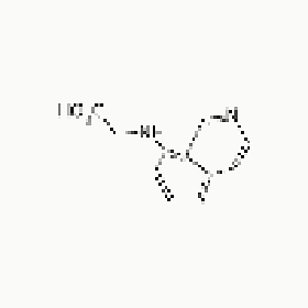 O=C(O)CNc1cccc2ccncc12